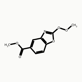 COOc1nc2cc(C(=O)OC)ccc2o1